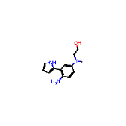 CN(CCO)c1ccc(N)c(-c2ccc[nH]2)c1